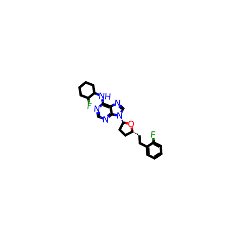 Fc1ccccc1CC[C@@H]1CC[C@H](n2cnc3c(NC4CCCCC4F)ncnc32)O1